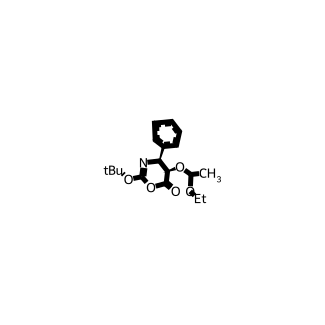 CCOC(C)O[C@H]1C(=O)OC(OC(C)(C)C)=N[C@H]1c1ccccc1